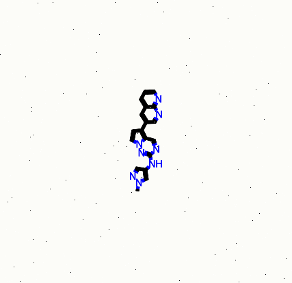 Cn1cc(Nc2ncc3c(-c4cnc5ncccc5c4)ccn3n2)cn1